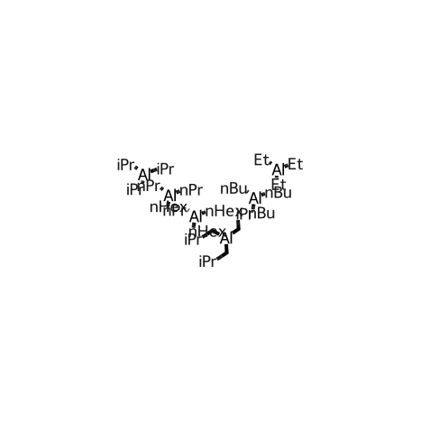 CC(C)[CH2][Al]([CH2]C(C)C)[CH2]C(C)C.CCCCC[CH2][Al]([CH2]CCCCC)[CH2]CCCCC.CCC[CH2][Al]([CH2]CCC)[CH2]CCC.CC[CH2][Al]([CH2]CC)[CH2]CC.C[CH2][Al]([CH2]C)[CH2]C.C[CH](C)[Al]([CH](C)C)[CH](C)C